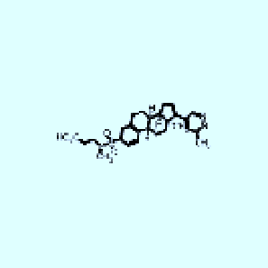 Cc1cc(C2=CC[C@H]3[C@@H]4CCc5cc(S(=O)(=O)N(C)CCC(=O)O)ccc5[C@H]4CC[C@]23C)cnn1